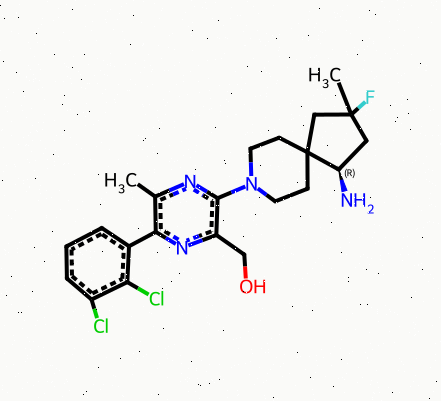 Cc1nc(N2CCC3(CC2)CC(C)(F)C[C@H]3N)c(CO)nc1-c1cccc(Cl)c1Cl